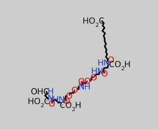 O=[C]CC[C@H](NC(=O)CC[C@H](NC(=O)COCCOCCNC(=O)COCCOCCNC(=O)CC[C@H](NC(=O)CCCCCCCCCCCCCCC(=O)O)C(=O)O)C(=O)O)C(=O)O